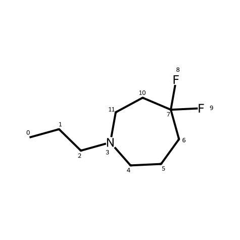 CCCN1CCCC(F)(F)CC1